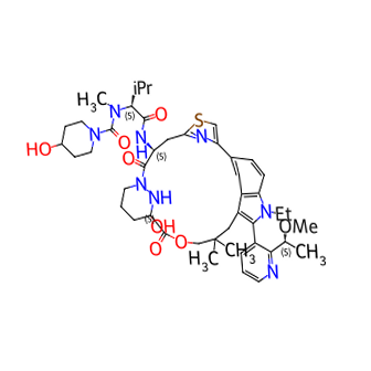 CCn1c(-c2cccnc2[C@H](C)OC)c2c3cc(ccc31)-c1csc(n1)C[C@H](NC(=O)[C@H](C(C)C)N(C)C(=O)N1CCC(O)CC1)C(=O)N1CCC[C@@](O)(N1)C(=O)OCC(C)(C)C2